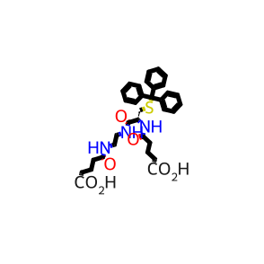 O=C(O)CCCC(=O)NCCNC(=O)[C@H](CSC(c1ccccc1)(c1ccccc1)c1ccccc1)NC(=O)CCCC(=O)O